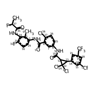 Cc1c(NC(=O)c2cc(NC(=O)C3C(c4cc(C(F)(F)F)cc(C(F)(F)F)c4)C3(Cl)Cl)ccc2Cl)ccc(F)c1NC(=O)C(C)F